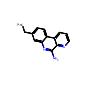 COCc1ccc2c(c1)nc(N)c1ncccc12